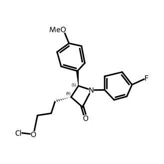 COc1ccc([C@@H]2[C@@H](CCCOCl)C(=O)N2c2ccc(F)cc2)cc1